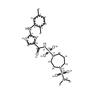 Cc1ccc(C)c(Nc2nc(C(=O)NS(=O)(=O)N3CCCN(S(=O)(=O)N(C)C)CC3)co2)c1